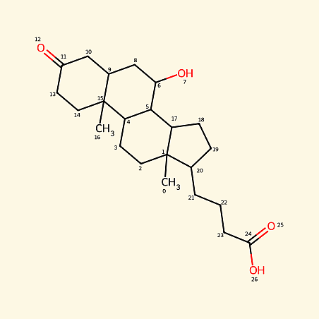 CC12CCC3C(C(O)CC4CC(=O)CCC43C)C1CCC2CCCC(=O)O